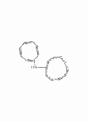 C1=C\C=C/C(Nc2ccccccccc2)=C\C=C/1